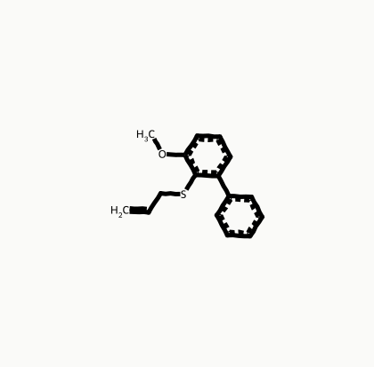 C=CCSc1c(OC)cccc1-c1ccccc1